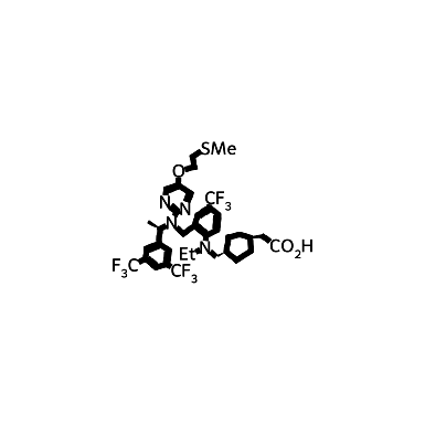 CCN(C[C@H]1CC[C@H](CC(=O)O)CC1)c1ccc(C(F)(F)F)cc1CN(c1ncc(OCCSC)cn1)[C@H](C)c1cc(C(F)(F)F)cc(C(F)(F)F)c1